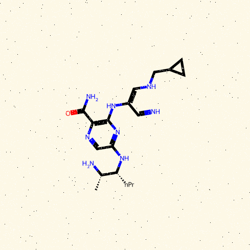 CCC[C@@H](Nc1cnc(C(N)=O)c(N/C(C=N)=C/NCC2CC2)n1)[C@H](C)N